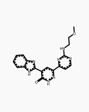 COCCNc1nccc(-c2cc(-c3nc4ccccc4[nH]3)c(=O)[nH]n2)n1